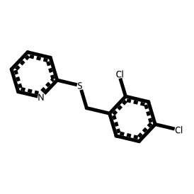 Clc1ccc(CSc2ccccn2)c(Cl)c1